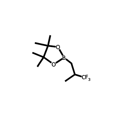 CC(CB1OC(C)(C)C(C)(C)O1)C(F)(F)F